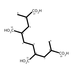 CC(CC(CCC(CC(C)C(=O)O)C(=O)O)C(=O)O)C(=O)O